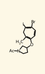 CC(=O)N1CCC(OC2=C(C)CC(I)=C(Br)C=C2)C1